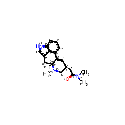 CN(C)C(=O)C[C@@H]1C=C2c3cccc4[nH]cc(c34)C[C@H]2N(C)C1